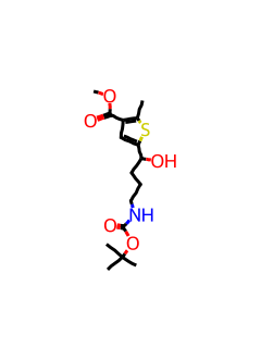 COC(=O)c1cc(C(O)CCCNC(=O)OC(C)(C)C)sc1C